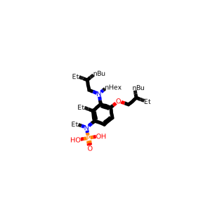 CCCCCCN(CC(CC)CCCC)c1c(OCC(CC)CCCC)ccc(N(CC)P(=O)(O)O)c1CC